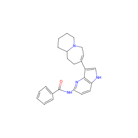 O=C(Nc1ccc2[nH]cc(C3=CCN4CCCCC4CC3)c2n1)c1ccccc1